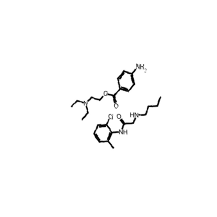 CCCCNCC(=O)Nc1c(C)cccc1Cl.CCN(CC)CCOC(=O)c1ccc(N)cc1